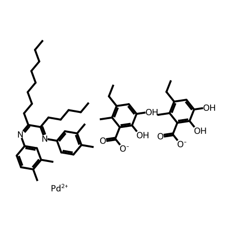 CCCCCCCCC(=Nc1ccc(C)c(C)c1)C(CCCCC)=Nc1ccc(C)c(C)c1.CCc1cc(O)c(O)c(C(=O)[O-])c1C.CCc1cc(O)c(O)c(C(=O)[O-])c1C.[Pd+2]